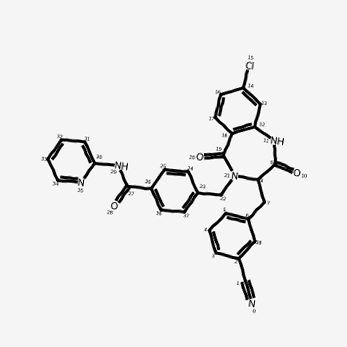 N#Cc1cccc(CC2C(=O)Nc3cc(Cl)ccc3C(=O)N2Cc2ccc(C(=O)Nc3ccccn3)cc2)c1